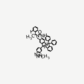 CC(c1ccccc1I)N1Cc2cc3c(-c4ccc5nnn(C)c5c4)nn(C(c4ccccc4)(c4ccccc4)c4ccccc4)c3cc2NC1=O